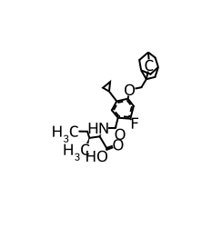 CC[C@H](C)[C@H](NC(=O)c1cc(C2CC2)c(OCC23CC4CC(CC2C4)C3)cc1F)C(=O)O